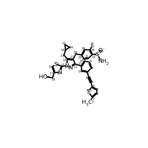 Cc1ccc(C#Cc2cccc(-c3nn(-c4nc(CO)cs4)c(CC4CC4)c3Cc3ccc([S+](N)[O-])c(F)c3)c2)s1